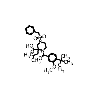 COc1cc(C(=O)N2CCN(S(=O)(=O)Cc3ccccc3)CC2(CC(C)C)C(=O)O)ccc1C(C)(C)C